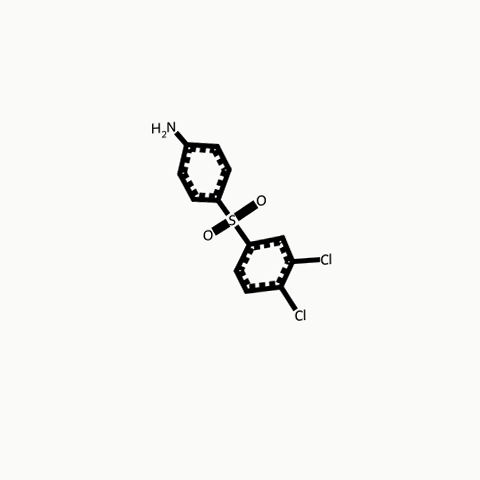 Nc1ccc(S(=O)(=O)c2ccc(Cl)c(Cl)c2)cc1